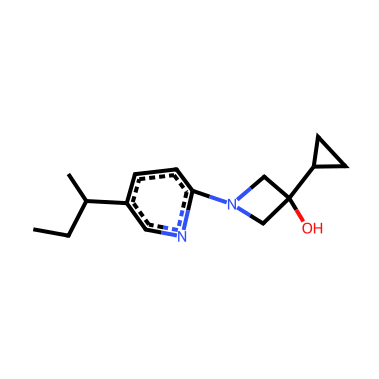 CCC(C)c1ccc(N2CC(O)(C3CC3)C2)nc1